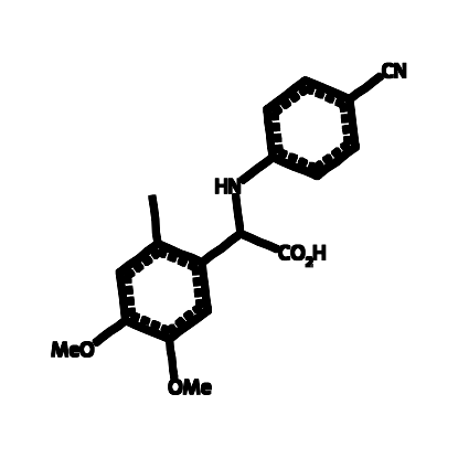 COc1cc(C)c(C(Nc2ccc(C#N)cc2)C(=O)O)cc1OC